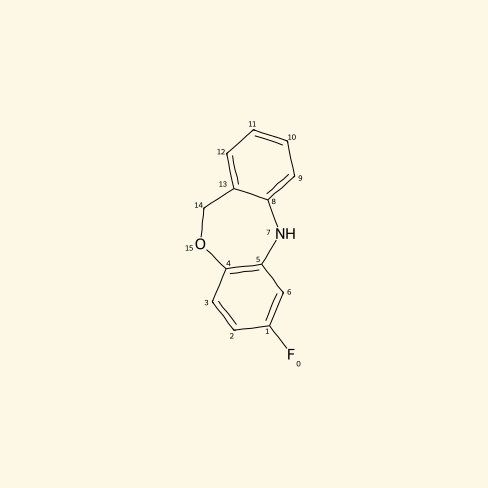 Fc1ccc2c(c1)Nc1ccccc1CO2